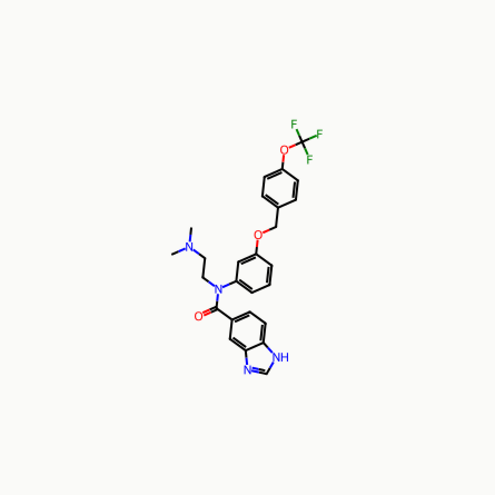 CN(C)CCN(C(=O)c1ccc2[nH]cnc2c1)c1cccc(OCc2ccc(OC(F)(F)F)cc2)c1